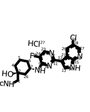 CC(=O)NC[C@]1(O)CCC[C@H](Nc2nc(-c3c[nH]c4ncc(Cl)cc34)ncc2F)C1.Cl